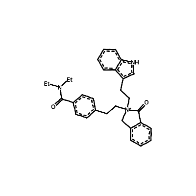 CCN(CC)C(=O)c1ccc(CC[N+]2(CCc3c[nH]c4ccccc34)Cc3ccccc3C2=O)cc1